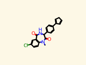 CN1C(=O)C(c2ccc(C3=CCC=C3)cc2)NC(=O)c2cc(Cl)ccc21